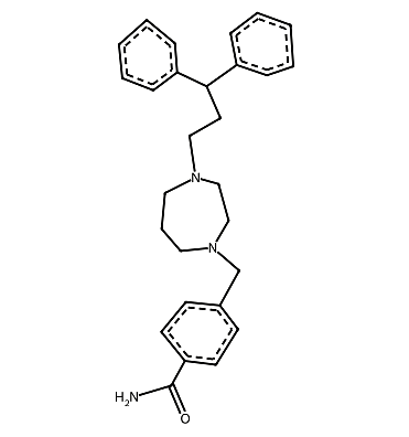 NC(=O)c1ccc(CN2CCCN(CCC(c3ccccc3)c3ccccc3)CC2)cc1